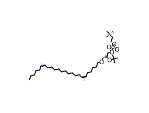 CCCCC/C=C\CCCCCCCCCC/C=C\CCCCCOC[C@H](COP(=O)([O-])OCC[N+](C)(C)C)OC(C)(C)C